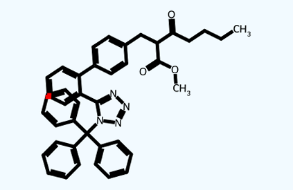 CCCCC(=O)C(Cc1ccc(-c2ccccc2-c2nnnn2C(c2ccccc2)(c2ccccc2)c2ccccc2)cc1)C(=O)OC